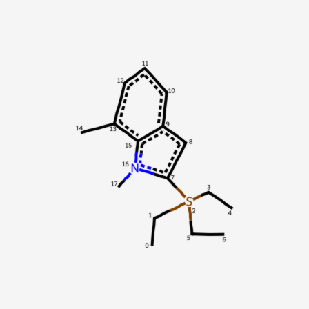 CCS(CC)(CC)c1cc2cccc(C)c2n1C